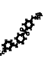 CC(C)(C)NCc1ccc(S(=O)(=O)N2CCN(Cc3cccc(C(F)(F)F)c3)CC2)cc1